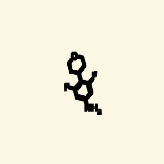 Nc1cc(F)c(C2CCOCC2)c(F)c1